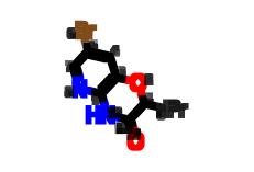 CC(C)C1Oc2cc(Br)cnc2NC1=O